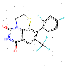 O=c1[nH]c(=O)n2c3c(c(-c4ccc(F)cc4F)c(C(F)(F)F)cc13)SCC2